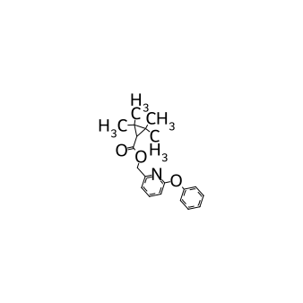 CC1(C)C(C(=O)OCc2cccc(Oc3ccccc3)n2)C1(C)C